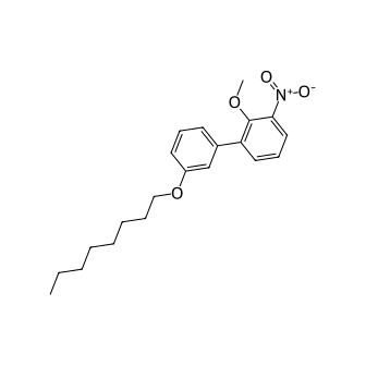 CCCCCCCCOc1cccc(-c2cccc([N+](=O)[O-])c2OC)c1